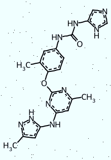 Cc1cc(Nc2cc(C)nc(Oc3ccc(NC(=O)Nc4cnc[nH]4)cc3C)n2)[nH]n1